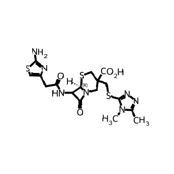 Cc1nnc(SCC2(C(=O)O)CS[C@@H]3C(NC(=O)Cc4csc(N)n4)C(=O)N3C2)n1C